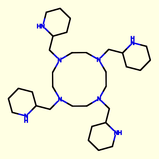 C1CCC(CN2CCN(CC3CCCCN3)CCN(CC3CCCCN3)CCN(CC3CCCCN3)CC2)NC1